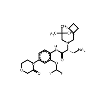 CC(C)(C)CN(CC1CCC1)[C@H](CN)C(=O)Nc1ccc(N2CCOCC2=O)cc1OC(F)F